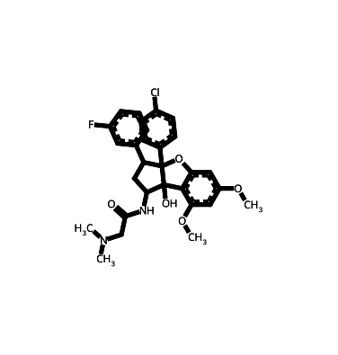 COc1cc(OC)c2c(c1)OC1(c3ccc(Cl)cc3)C(c3cccc(F)c3)CC(NC(=O)CN(C)C)C21O